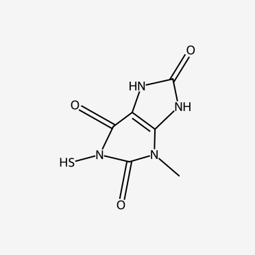 Cn1c(=O)n(S)c(=O)c2[nH]c(=O)[nH]c21